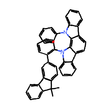 CC1(C)c2ccccc2-c2cc(-c3ccc#cc3-n3c4ccccc4c4ccc5c6ccccc6n(C6=CC=CCC6)c5c43)ccc21